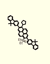 CC[Si](CC)(CC)c1c(-c2ccc3c(c2)C(C)(C)c2ccccc2-3)cc2ccc3c(C4CCCC4)c(-c4ccc5c(c4)C(C)(C)c4ccccc4-5)cc4ccc1c2c43